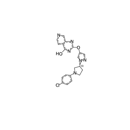 Oc1nc(Oc2cnn([C@H]3CCN(c4ccc(Cl)cc4)C3)c2)nc2cnccc12